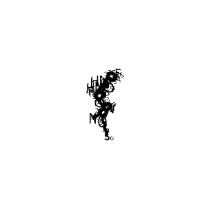 CSCCCOc1cc2nccc(Oc3ccc(NC(=O)Nc4ccc(F)cc4)c(F)c3)c2cc1C#N